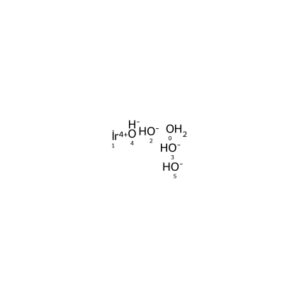 O.[Ir+4].[OH-].[OH-].[OH-].[OH-]